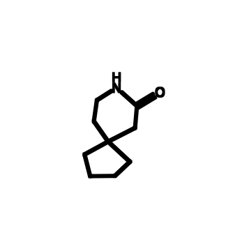 O=C1CC2(CCCC2)CCN1